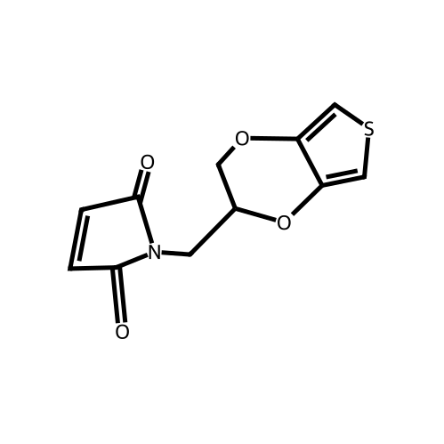 O=C1C=CC(=O)N1CC1COc2cscc2O1